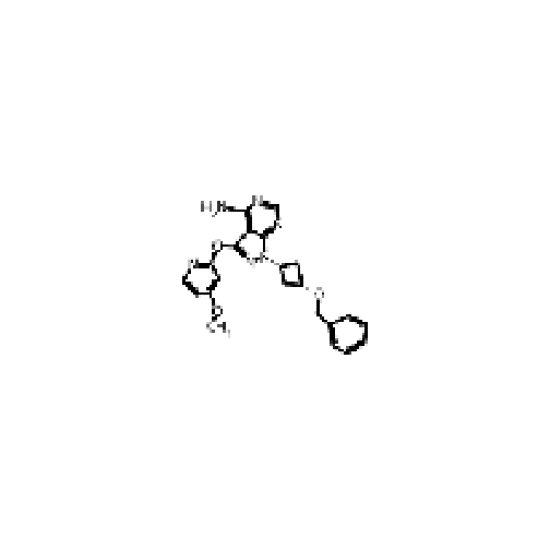 COc1ccnc(Oc2nn([C@H]3C[C@@H](OCc4ccccc4)C3)c3ncnc(N)c23)c1